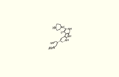 CN/C=C(\C=N)C1=Cc2c([nH]c3c2C(O[C@H]2CCCNC2)=C(C#N)NC3)NC1